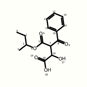 CCC(C)OC(=O)C(C(=O)c1ccccc1)C(O)C(=O)O